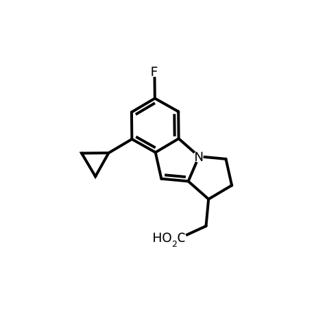 O=C(O)CC1CCn2c1cc1c(C3CC3)cc(F)cc12